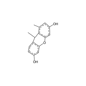 Cc1cc(O)cc2c1C(C)c1ccc(O)cc1O2